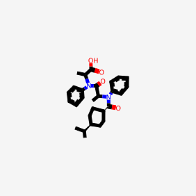 CC(C(=O)O)N(C(=O)C(C)N(c1ccccc1)C(=O)[C@H]1CC[C@H](C(C)C)CC1)c1ccccc1